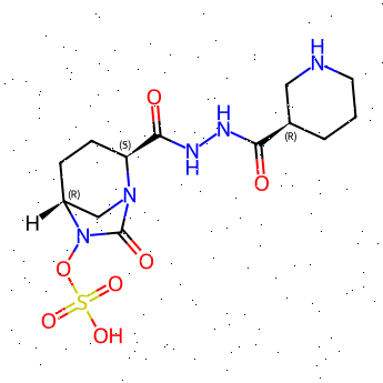 O=C(NNC(=O)[C@@H]1CC[C@@H]2CN1C(=O)N2OS(=O)(=O)O)[C@@H]1CCCNC1